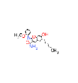 CCCCCCc1cc2cc(C(N)=O)/c(=N/c3ccccc3OC)oc2cc1O